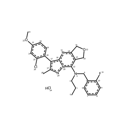 CCCN(Cc1ccccc1F)c1c2c(nc3c(-c4ccc(OC)cc4Cl)c(C)nn13)COC2.Cl